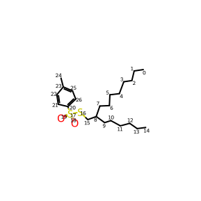 CCCCCCCCC(CCCCCC)CSS(=O)(=O)c1ccc(C)cc1